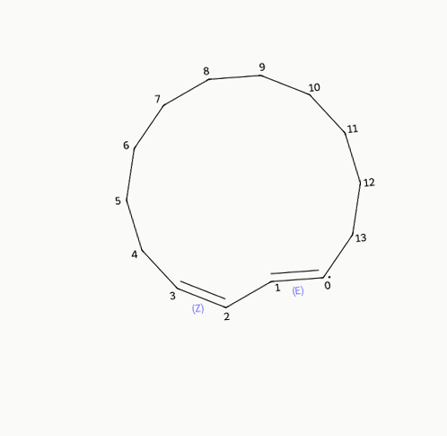 [C]1=C/C=C\CCCCCCCCCC/1